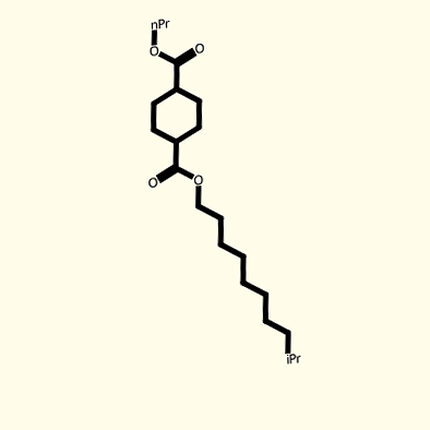 CCCOC(=O)C1CCC(C(=O)OCCCCCCCCC(C)C)CC1